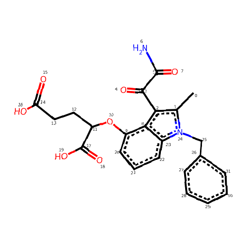 Cc1c(C(=O)C(N)=O)c2c(OC(CCC(=O)O)C(=O)O)cccc2n1Cc1ccccc1